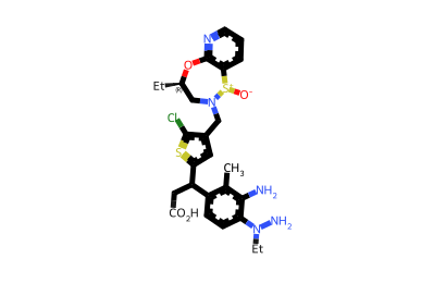 CC[C@@H]1CN(Cc2cc(C(CC(=O)O)c3ccc(N(N)CC)c(N)c3C)sc2Cl)[S+]([O-])c2cccnc2O1